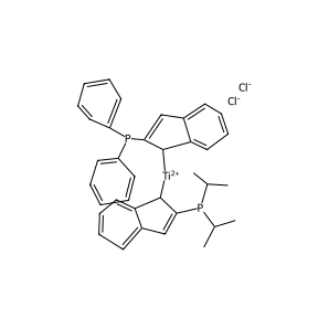 CC(C)P(C1=Cc2ccccc2[CH]1[Ti+2][CH]1C(P(c2ccccc2)c2ccccc2)=Cc2ccccc21)C(C)C.[Cl-].[Cl-]